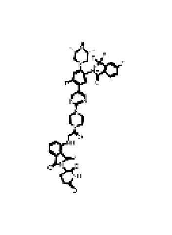 C[C@@H]1CN(c2cc(F)c(-c3cnc(N4CCN(C(=O)CNc5cccc6c5C(=O)N(C5CCC(=O)NC5=O)C6=O)CC4)nc3)cc2NC(=O)c2ccc(F)cc2C(F)(F)F)C[C@H](C)N1C